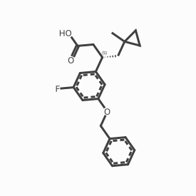 CC1(C[C@@H](CC(=O)O)c2cc(F)cc(OCc3ccccc3)c2)CC1